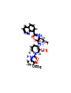 COC(=O)[C@H](CC(C)C)NC(=O)N1C[C@H](O)[C@@H](NC(=O)[C@H](CC(C)C)NC(=O)c2cccc3cccnc23)CC[C@H]1C